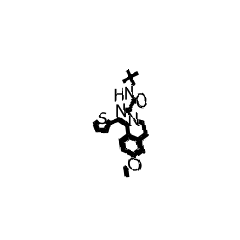 CCOc1ccc2c(c1)CCn1c(C(=O)NCC(C)(C)C)nc(-c3cccs3)c1-2